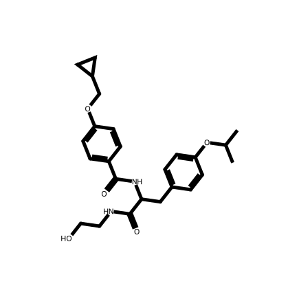 CC(C)Oc1ccc(CC(NC(=O)c2ccc(OCC3CC3)cc2)C(=O)NCCO)cc1